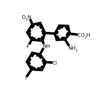 Nc1cc(-c2cc([N+](=O)[O-])cc(F)c2Nc2ccc(I)cc2Cl)ccc1C(=O)O